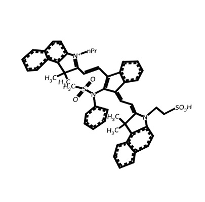 CCC[N+]1=C(/C=C/C2=C(N(c3ccccc3)S(C)(=O)=O)C(=C/C=C3/N(CCS(=O)(=O)O)c4ccc5ccccc5c4C3(C)C)/c3ccccc32)C(C)(C)c2c1ccc1ccccc21